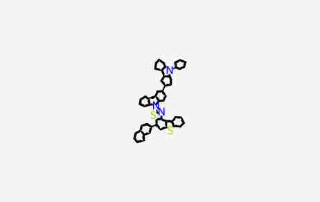 c1ccc(-n2c3ccccc3c3cc(-c4ccc5c(c4)c4ccccc4n5-c4nc5c(s4)c(-c4ccc6ccccc6c4)cc4sc6ccccc6c45)ccc32)cc1